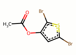 CC(=O)Oc1cc(Br)sc1Br